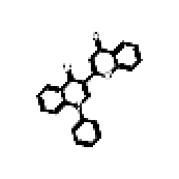 O=c1cc(-c2cn(-c3ccccc3)c3ccccc3c2=O)oc2ccccc12